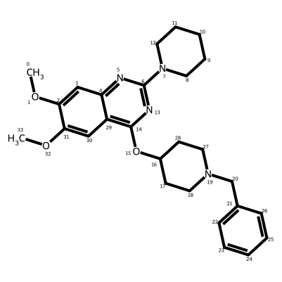 COc1cc2nc(N3CCCCC3)nc(OC3CCN(Cc4ccccc4)CC3)c2cc1OC